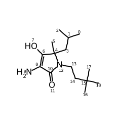 CC(C)CC1(C)C(O)=C(N)C(=O)N1CCC(C)(C)C